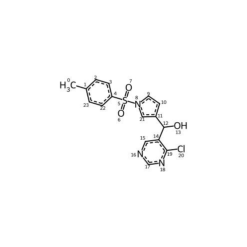 Cc1ccc(S(=O)(=O)n2ccc(C(O)c3cncnc3Cl)c2)cc1